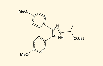 CCOC(=O)C(C)c1nc(-c2ccc(OC)cc2)c(-c2ccc(OC)cc2)[nH]1